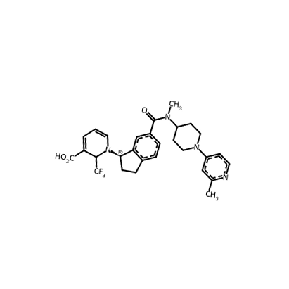 Cc1cc(N2CCC(N(C)C(=O)c3ccc4c(c3)[C@H](N3C=CC=C(C(=O)O)C3C(F)(F)F)CC4)CC2)ccn1